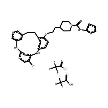 O=C(Nc1cccs1)N1CCC(CCOc2ccc3cc2CCc2cncc(c2)Nc2ncc(Cl)c(n2)N3)CC1.O=C(O)C(F)(F)F.O=C(O)C(F)(F)F